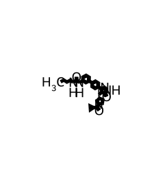 CCCCNC(=O)Nc1cccc(-c2ccc(-c3n[nH]c(=O)n3C[C@@H]3CCN(C(=O)C4CC4)C3)cc2)c1